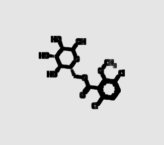 COc1c(Cl)ccc(Cl)c1C(=O)OC[C@H]1OC(O)[C@H](O)[C@@H](O)[C@@H]1O